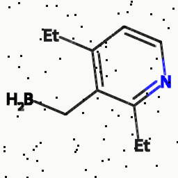 BCc1c(CC)ccnc1CC